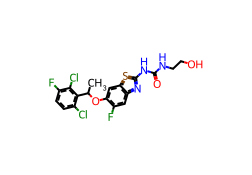 CC(Oc1cc2sc(NC(=O)NCCO)nc2cc1F)c1c(Cl)ccc(F)c1Cl